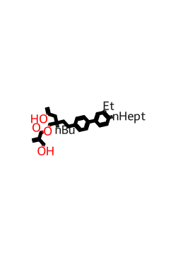 C=C(O)CC(CCCC)(CCc1ccc(-c2ccc(CCCCCCC)c(CC)c2)cc1)COC(=O)C(=C)CO